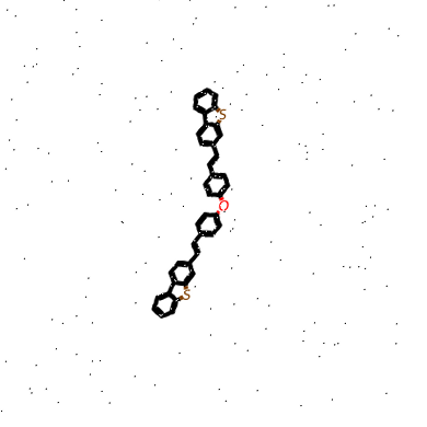 C(=C\c1ccc2c(c1)sc1ccccc12)/c1ccc(Oc2ccc(/C=C/c3ccc4c(c3)sc3ccccc34)cc2)cc1